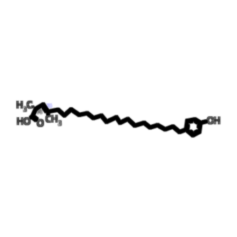 C/C(=C\[C@@H](C)C(=O)O)CCCCCCCCCCCCCCCCCCc1ccc(O)cc1